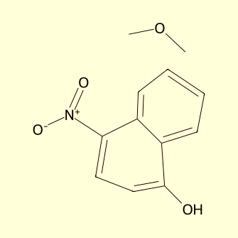 COC.O=[N+]([O-])c1ccc(O)c2ccccc12